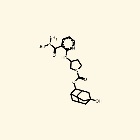 CN(C(=O)c1cccnc1NC1CCN(C(=O)OC2C3CC4CC2CC(O)(C4)C3)C1)C(C)(C)C